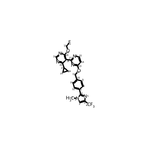 Cn1cc(C(F)(F)F)nc1-c1ccc(COc2ccnc(-c3c(OCF)ncnc3C3CC3)n2)cc1